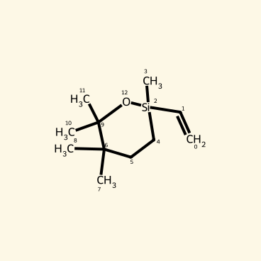 C=C[Si]1(C)CCC(C)(C)C(C)(C)O1